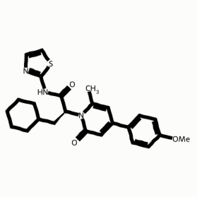 COc1ccc(-c2cc(C)n([C@@H](CC3CCCCC3)C(=O)Nc3nccs3)c(=O)c2)cc1